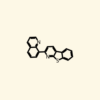 c1cnc2c(-c3ccc4c(n3)sc3ccccc34)cccc2c1